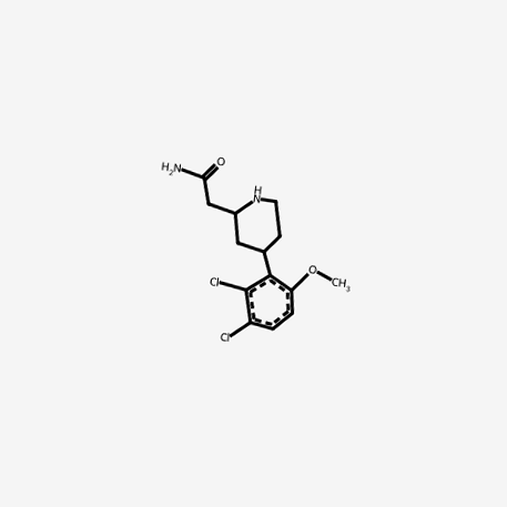 COc1ccc(Cl)c(Cl)c1C1CCNC(CC(N)=O)C1